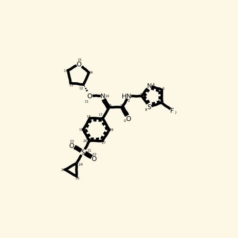 O=C(Nc1ncc(F)s1)/C(=N/O[C@@H]1CCOC1)c1ccc(S(=O)(=O)C2CC2)cc1